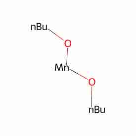 CCCC[O][Mn][O]CCCC